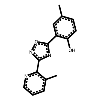 Cc1ccc(O)c(-c2nc(-c3ncccc3C)no2)c1